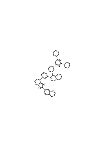 c1ccc(-c2cc(-c3cccc(-c4c(-c5cccc(-c6cccc7oc(-c8ccc9ccccc9c8)nc67)c5)ccc5ccccc45)c3)nc(-c3ccccc3)n2)cc1